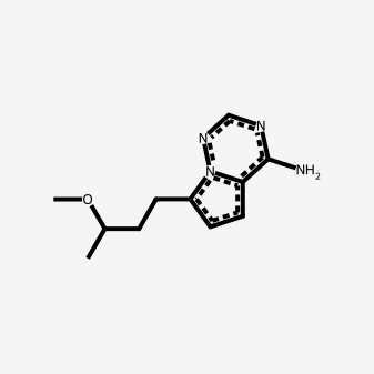 COC(C)CCc1ccc2c(N)ncnn12